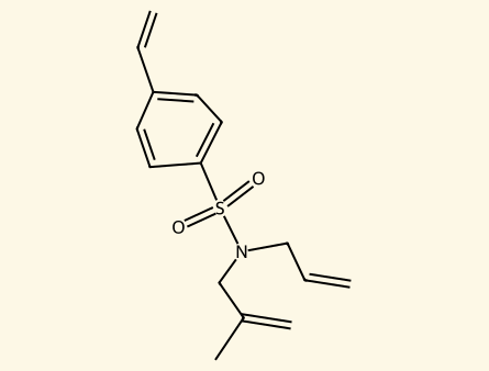 C=CCN(CC(=C)C)S(=O)(=O)c1ccc(C=C)cc1